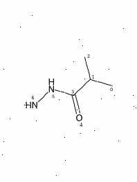 CC(C)C(=O)N[NH]